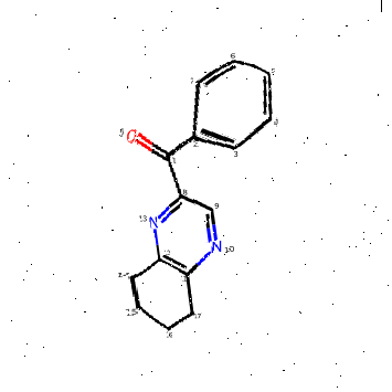 O=C(c1ccccc1)c1cnc2c(n1)CCCC2